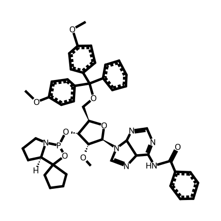 COc1ccc(C(OC[C@H]2O[C@@H](N3C=NC4C(NC(=O)c5ccccc5)=NC=NC43)[C@H](OC)[C@@H]2OP2OC3(CCCC3)[C@H]3CCCN32)(c2ccccc2)c2ccc(OC)cc2)cc1